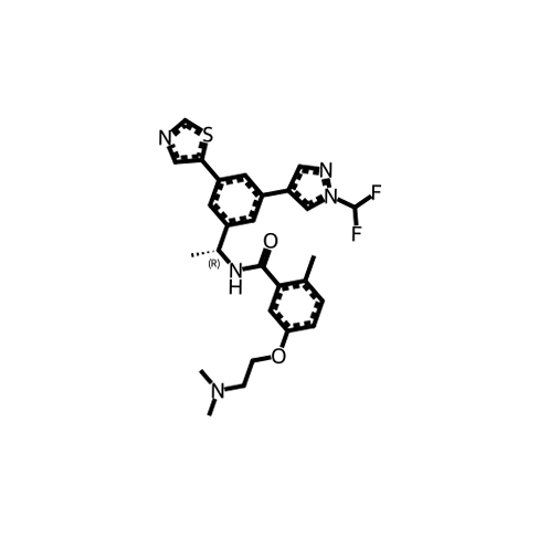 Cc1ccc(OCCN(C)C)cc1C(=O)N[C@H](C)c1cc(-c2cnn(C(F)F)c2)cc(-c2cncs2)c1